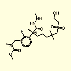 CNNC(=O)[C@](C)(CCCC(C)(C)CS(=O)(=O)CCO)c1cccc(C[C@H](C)C(=O)OC)c1F